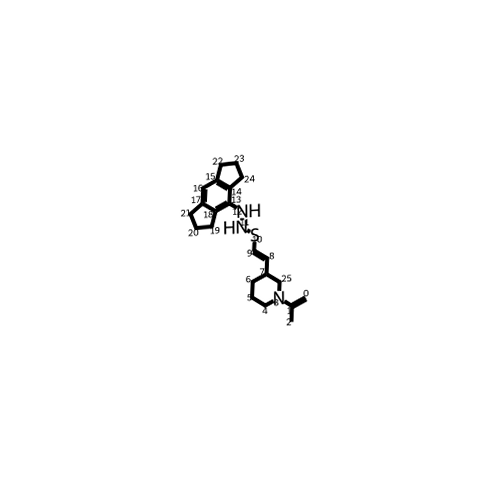 C=C(C)N1CCCC(/C=C/SNNc2c3c(cc4c2CCC4)CCC3)C1